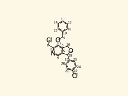 ClCc1ncc2c(c1OCc1ccccc1)COC2c1ccc(Cl)cc1